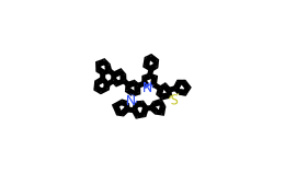 c1ccc(-c2cc(-c3cc(-c4ccc5c6ccccc6c6ccccc6c5c4)cc(-n4c5ccccc5c5ccc(-c6ccccc6)cc54)c3)nc(-c3ccc4sc5ccccc5c4c3)c2)cc1